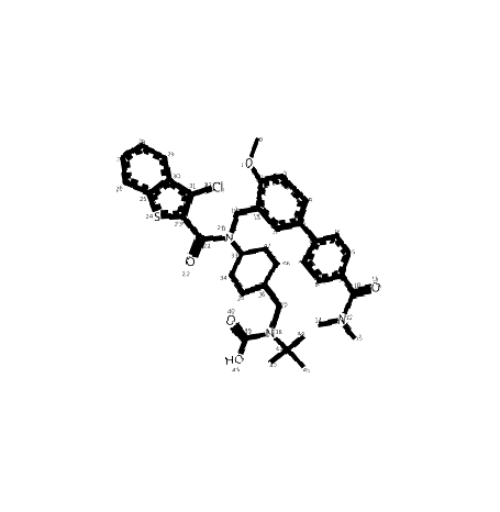 COc1ccc(-c2ccc(C(=O)N(C)C)cc2)cc1CN(C(=O)c1sc2ccccc2c1Cl)C1CCC(CN(C(=O)O)C(C)(C)C)CC1